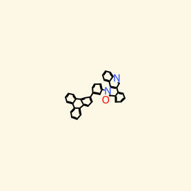 O=c1c2ccccc2c2cnc3ccccc3c2n1-c1cccc(-c2ccc3c4ccccc4c4ccccc4c3c2)c1